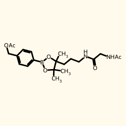 CC(=O)NCC(=O)NCCCC1(C)OB(c2ccc(COC(C)=O)cc2)OC1(C)C